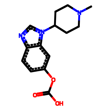 CN1CCC(n2cnc3ccc(OC(=O)O)cc32)CC1